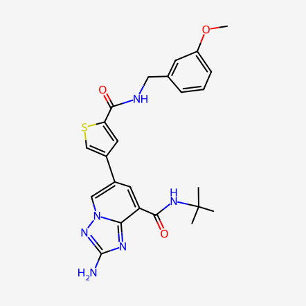 COc1cccc(CNC(=O)c2cc(-c3cc(C(=O)NC(C)(C)C)c4nc(N)nn4c3)cs2)c1